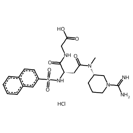 CN(C(=O)C[C@H](NS(=O)(=O)c1ccc2ccccc2c1)C(=O)NCC(=O)O)[C@H]1CCCN(C(=N)N)C1.Cl